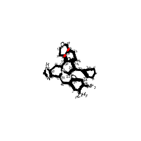 Cc1cc(C[C@H]2c3nc[nH]c3CC(C(=O)N3CCOCC3)N2C(=O)C(c2ccccc2)c2ccccc2)ccc1N